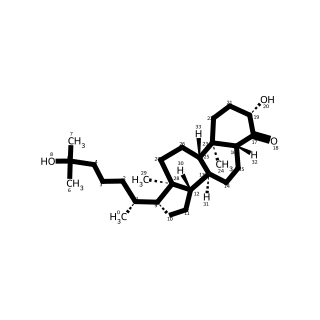 C[C@H](CCCC(C)(C)O)[C@H]1CC[C@H]2[C@@H]3CC[C@H]4C(=O)[C@@H](O)CC[C@]4(C)[C@H]3CC[C@]12C